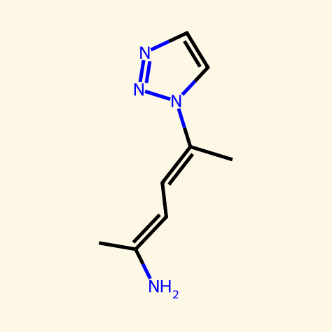 C/C(N)=C\C=C(/C)n1ccnn1